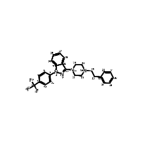 FC(F)(F)c1ccc(-n2nc(N3CCN(CCc4ccccc4)CC3)c3ccccc32)cc1